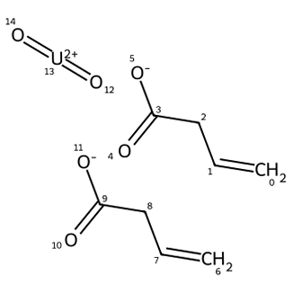 C=CCC(=O)[O-].C=CCC(=O)[O-].[O]=[U+2]=[O]